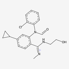 C/N=C(/NCCO)c1ccc(C2CC2)cc1N(C=O)c1ccccc1Cl